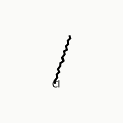 CCCCCCCCC=CCCCCCCCCl